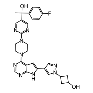 CC(O)(c1ccc(F)cc1)c1cnc(N2CCN(c3ncnc4[nH]c(-c5cnn(C6CC(O)C6)c5)cc34)CC2)nc1